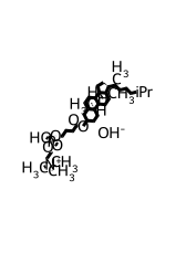 CC(C)CCC[C@@H](C)[C@H]1CC[C@H]2[C@@H]3CC=C4CC(OC(=O)CCCOP(=O)(O)OCC[N+](C)(C)C)CC[C@]4(C)[C@H]3CC[C@]12C.[OH-]